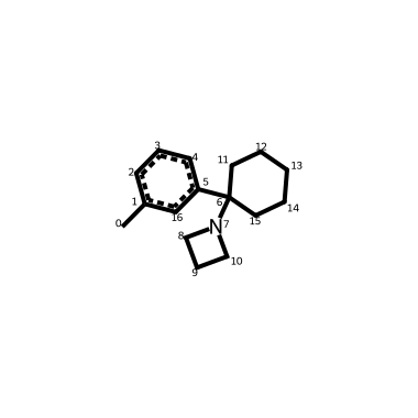 Cc1cccc(C2(N3CCC3)CCCCC2)c1